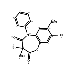 CCCCC1(CC)C(=O)Sc2cc(O)c(SC)cc2N(c2ccccc2)C1=O